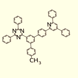 Cc1ccc(-c2cc(-c3ccc(-c4cc(-c5ccccc5)cc(-c5ccccc5)n4)cc3)cc(-c3nc(-c4ccccc4)nc(-c4ccccc4)n3)c2)cc1